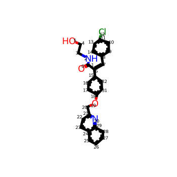 O=C(NCCO)C(=Cc1ccc(Cl)cc1)c1ccc(OCc2ccc3ccccc3n2)cc1